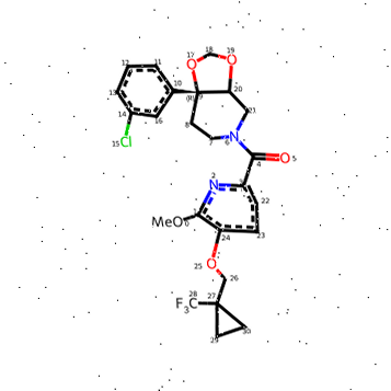 COc1nc(C(=O)N2CC[C@]3(c4cccc(Cl)c4)OCOC3C2)ccc1OCC1(C(F)(F)F)CC1